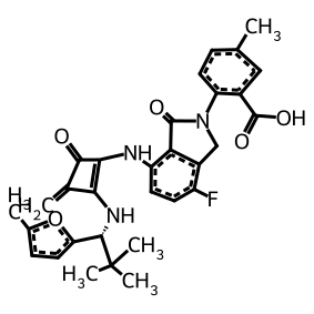 C=C1C(=O)C(Nc2ccc(F)c3c2C(=O)N(c2ccc(C)cc2C(=O)O)C3)=C1N[C@@H](c1ccc(C)o1)C(C)(C)C